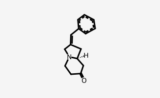 O=C1CCN2CC(=Cc3ccccc3)C[C@H]2C1